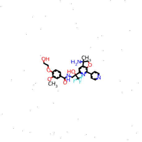 COc1cc(C(=O)NCC(O)(c2cc3c(c(-c4ccncc4)n2)OCC3(C)N)C(F)(F)F)ccc1OCCO